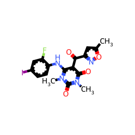 Cc1cc(C(=O)c2c(Nc3ccc(I)cc3F)n(C)c(=O)n(C)c2=O)no1